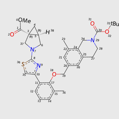 COC(=O)[C@]12C[C@H]1CN(c1nc(-c3cccc(C)c3OCc3cc(C)c4c(c3)CCN(C(=O)OC(C)(C)C)C4)cs1)C2